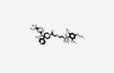 COc1cc(C)c(S(=O)(=O)N(C)CCOCC(=O)N2CCC(c3ccncc3)(N(C)C(=O)OC(C)(C)C)CC2)c(C)c1